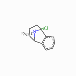 CCCC(C)N1C2CCCC1c1ccccc12.Cl